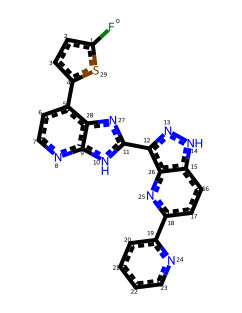 Fc1ccc(-c2ccnc3[nH]c(-c4n[nH]c5ccc(-c6ccccn6)nc45)nc23)s1